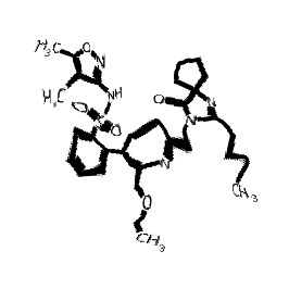 CCCCC1=NC2(CCCC2)C(=O)N1Cc1ccc(-c2ccccc2S(=O)(=O)Nc2noc(C)c2C)c(COCC)n1